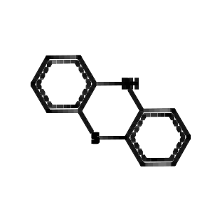 B1c2ccccc2Sc2ccccc21